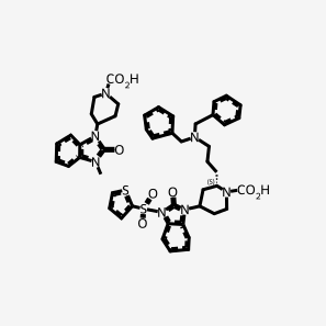 Cn1c(=O)n(C2CCN(C(=O)O)CC2)c2ccccc21.O=C(O)N1CCC(n2c(=O)n(S(=O)(=O)c3cccs3)c3ccccc32)C[C@@H]1CCCN(Cc1ccccc1)Cc1ccccc1